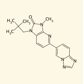 Cn1c(=O)n(CC(C)(C)C)c2ccc(-c3ccc4ncnn4c3)nc21